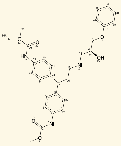 COC(=O)Nc1ccc(C(CCNC[C@H](O)COc2ccccc2)c2ccc(NC(=O)OC)cc2)cc1.Cl